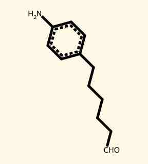 Nc1ccc(CCCCCC=O)cc1